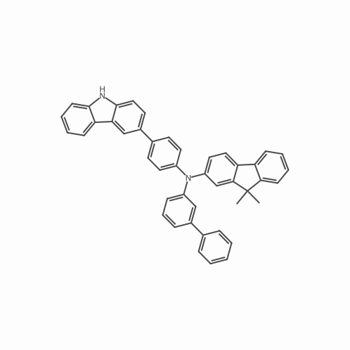 CC1(C)c2ccccc2-c2ccc(N(c3ccc(-c4ccc5[nH]c6ccccc6c5c4)cc3)c3cccc(-c4ccccc4)c3)cc21